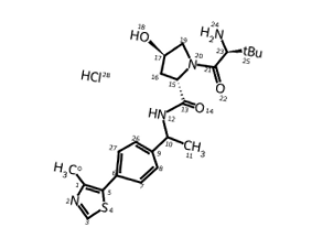 Cc1ncsc1-c1ccc(C(C)NC(=O)[C@@H]2C[C@@H](O)CN2C(=O)[C@@H](N)C(C)(C)C)cc1.Cl